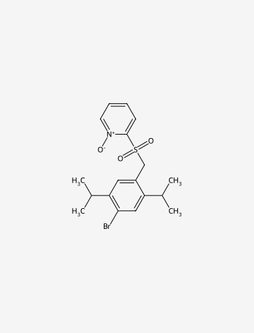 CC(C)c1cc(CS(=O)(=O)c2cccc[n+]2[O-])c(C(C)C)cc1Br